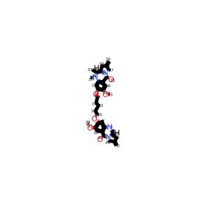 C=C1C[C@H]2C=Nc3cc(OCCCCCOc4cc5c(cc4OC)C(=O)N4CC(=C)C[C@H]4C(C)N5C)c(OC)cc3C(=O)N2C1